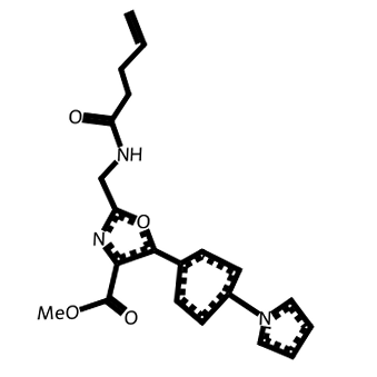 C=CCCC(=O)NCc1nc(C(=O)OC)c(-c2ccc(-n3cccc3)cc2)o1